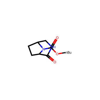 CCCCOC(=O)N1C2CCC1C(=O)NC2